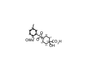 COc1ccc(C)cc1S(=O)(=O)N1CCC(O)(C(=O)O)CC1